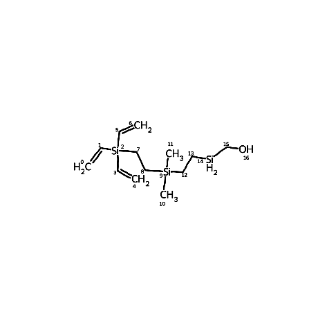 C=C[Si](C=C)(C=C)CC[Si](C)(C)CC[SiH2]CO